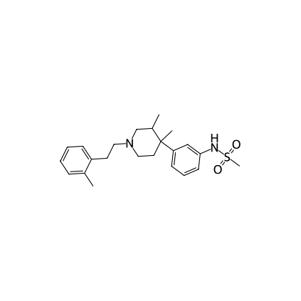 Cc1ccccc1CCN1CCC(C)(c2cccc(NS(C)(=O)=O)c2)C(C)C1